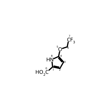 O=C(O)c1ccc(OCC(F)(F)F)[nH]1